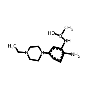 CCN1CCN(c2ccc(N)c(NB(C)O)c2)CC1